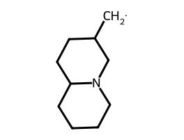 [CH2]C1CCC2CCCCN2C1